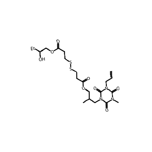 C=CCn1c(=O)n(C)c(=O)n(CC(C)COC(=O)CCSSCCC(=O)OCC(O)CC)c1=O